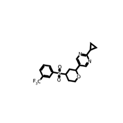 O=S(=O)(c1cccc(C(F)(F)F)c1)C1CCOC(c2cnc(C3CC3)nc2)C1